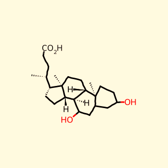 C[C@H](CCC(=O)O)[C@H]1CC[C@H]2[C@@H]3C(O)CC4CC(O)CC[C@]4(C)[C@H]3CC[C@]12C